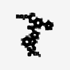 CCOC(=O)C(CC)Oc1ccc(-n2cnnn2)cc1C(=O)N1CCC(CCOS(C)(=O)=O)(c2ccccc2)C1